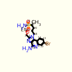 CCOCc1nc2c(N)nc3cc(Br)ccc3c2n1CCCC(C)S(N)(=O)=O